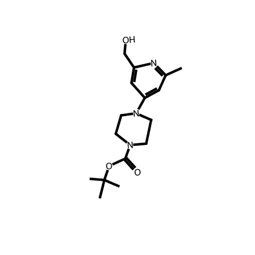 Cc1cc(N2CCN(C(=O)OC(C)(C)C)CC2)cc(CO)n1